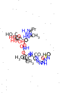 Cc1c(-c2ccc(N3CCn4cnc(C(=O)Nc5nc6ccccc6s5)c4C3)nc2C(=O)O)cnn1CC12CC3(C)CC(C)(C1)CC(OCCNC(=O)OCc1ccc(NC[C@H](C)NC[C@@H](N)C(C)C)cc1CC[C@@H]1O[C@H](C(=O)O)[C@@H](O)[C@H](O)[C@H]1O)(C3)C2